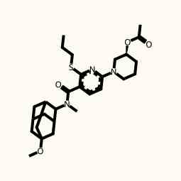 CCCSc1nc(N2CCC[C@H](OC(C)=O)C2)ccc1C(=O)N(C)C1C2CC3CC1CC(OC)(C3)C2